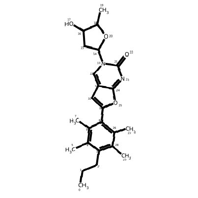 CCCc1c(C)c(C)c(-c2cc3cn(C4CC(O)C(C)O4)c(=O)nc3o2)c(C)c1C